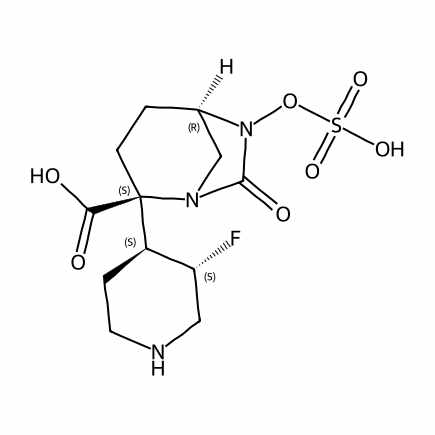 O=C1N(OS(=O)(=O)O)[C@@H]2CC[C@@](C(=O)O)([C@@H]3CCNC[C@H]3F)N1C2